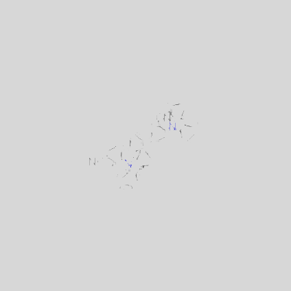 N#Cc1ccc(-c2ccc(-c3ccc(-n4c5ccccc5c5ccccc54)c(C#N)c3)cc2)c(-n2c3ccccc3c3ccccc32)c1